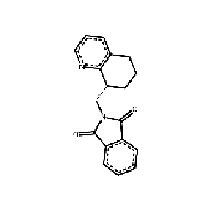 O=C1c2ccccc2C(=O)N1C[C@H]1CCCc2cccnc21